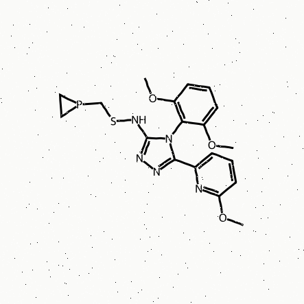 COc1cccc(-c2nnc(NSCP3CC3)n2-c2c(OC)cccc2OC)n1